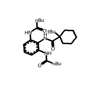 CCCCC(=O)Nc1cccc(NC(=O)CCCC)c1NC(=O)C1(C(C)(C)C)CCCCC1